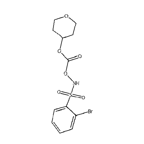 O=C(ONS(=O)(=O)c1ccccc1Br)OC1CCOCC1